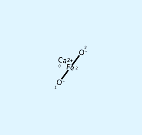 [Ca+2].[O-][Fe][O-]